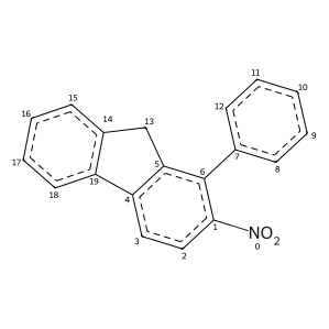 O=[N+]([O-])c1ccc2c(c1-c1ccccc1)Cc1ccccc1-2